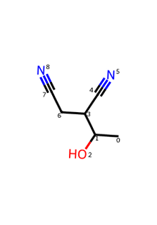 CC(O)C(C#N)CC#N